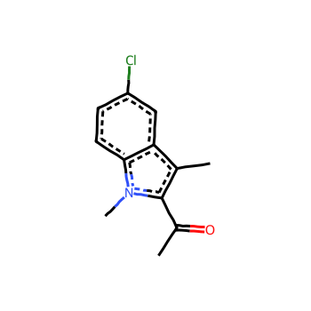 CC(=O)c1c(C)c2cc(Cl)ccc2n1C